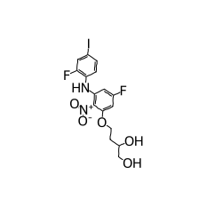 O=[N+]([O-])c1c(Nc2ccc(I)cc2F)cc(F)cc1OCCC(O)CO